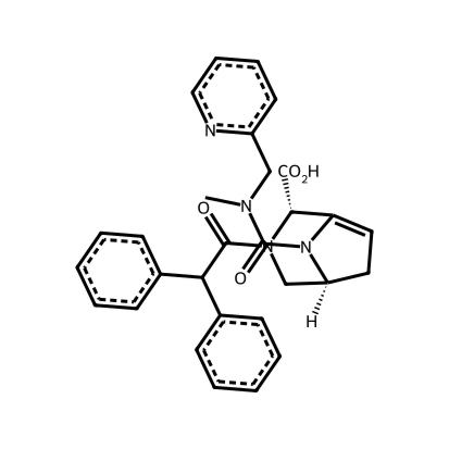 CN(Cc1ccccn1)C(=O)N1C2=CC[C@H]1CN(C(=O)C(c1ccccc1)c1ccccc1)[C@@H]2C(=O)O